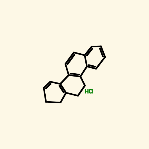 C1=CC2=C(CC1)CCc1c2ccc2ccccc12.Cl